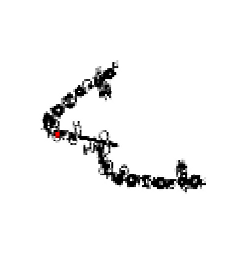 CCCNC(=O)C(CCCCNC(=O)COCC(=O)O[C@@H](C)[C@H](C)n1ccn(-c2ccc(N3CCN(c4ccc(OC[C@@H]5CO[C@@](Cn6cncn6)(c6ccc(F)cc6F)C5)cc4)CC3)cc2)c1=O)NC(=O)COCC(=O)O[C@@H](C)[C@H](C)n1ccn(-c2ccc(N3CCN(c4ccc(OC[C@@H]5CO[C@@](Cn6cncn6)(c6ccc(F)cc6F)C5)cc4)CC3)cc2)c1=O